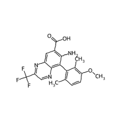 COc1ccc(C)c(-c2c(N)c(C(=O)O)cc3nc(C(F)(F)F)cnc23)c1C